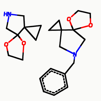 C1COC2(CNCC23CC3)O1.c1ccc(CN2CC3(CC3)C3(C2)OCCO3)cc1